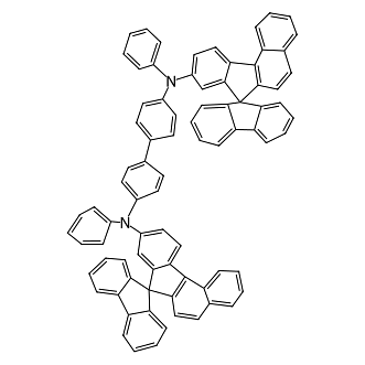 c1ccc(N(c2ccc(-c3ccc(N(c4ccccc4)c4ccc5c(c4)C4(c6ccccc6-c6ccccc64)c4ccc6ccccc6c4-5)cc3)cc2)c2ccc3c(c2)C2(c4ccccc4-c4ccccc42)c2ccc4ccccc4c2-3)cc1